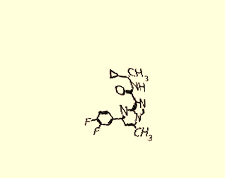 Cc1cc(-c2ccc(F)c(F)c2)nc2c(C(=O)N[C@@H](C)C3CC3)ncn12